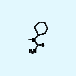 CN(C(N)=S)C1CCCCC1